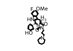 COc1cc2c3c([nH]c2cc1F)[C@@H](c1cccc(O)c1)N1C(=O)N(CCCN2CCCCCC2)C(=O)[C@]1(C)C3